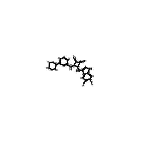 O=C1C(=O)C(Nc2c[nH]c3cc(F)c(F)cc23)C1Nc1cccc(C2CCOCC2)c1